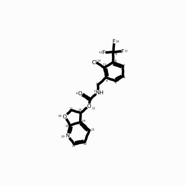 O=C(NCc1cccc(C(F)(F)F)c1Cl)OC1COc2ncccc21